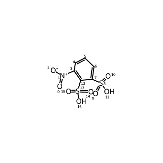 O=[N+]([O-])c1cccc(S(=O)(=O)O)c1S(=O)(=O)O